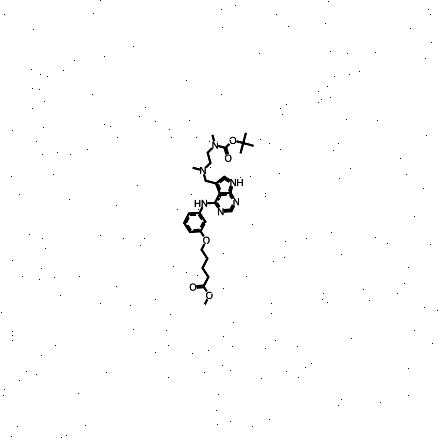 COC(=O)CCCCOc1cccc(Nc2ncnc3[nH]cc(CN(C)CCN(C)C(=O)OC(C)(C)C)c23)c1